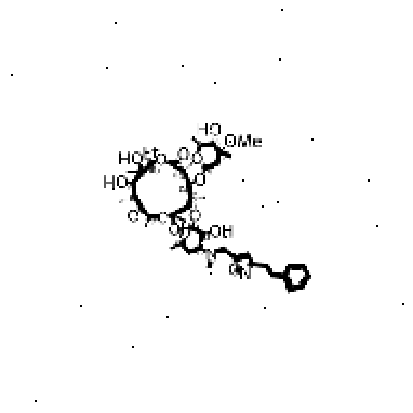 CC[C@H]1OC(=O)[C@H](C)[C@@H](O[C@H]2C[C@@](C)(OC)[C@@H](O)[C@H](C)O2)[C@H](C)[C@@H](O[C@@H]2O[C@H](C)C[C@H](N(C)Cc3cc(CCc4ccccc4)no3)[C@H]2O)[C@](C)(O)C[C@@H](C)C(=O)[C@H](C)[C@@H](O)[C@]1(C)O